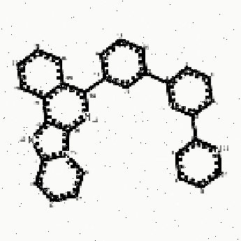 c1ccc(-c2cccc(-c3cccc(-c4nc5c(nc6ccccn65)c5ccccc45)c3)n2)nc1